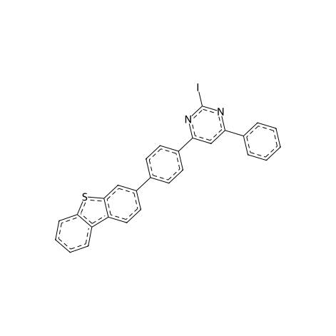 Ic1nc(-c2ccccc2)cc(-c2ccc(-c3ccc4c(c3)sc3ccccc34)cc2)n1